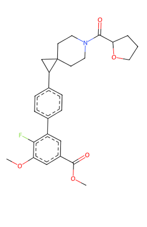 COC(=O)c1cc(OC)c(F)c(-c2ccc(C3CC34CCN(C(=O)C3CCCO3)CC4)cc2)c1